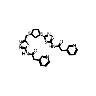 O=C(Cc1cccnc1)Nc1nnc(C[C@H]2CC[C@@H](c3nnc(NC(=O)Cc4cccnc4)s3)C2)s1